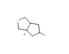 O=C(O)C1C[C@@H]2CNC[C@H]2C1